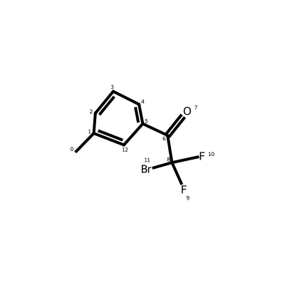 Cc1cccc(C(=O)C(F)(F)Br)c1